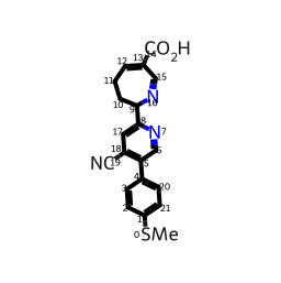 CSc1ccc(-c2cnc(C3CCC=C(C(=O)O)C=N3)cc2C#N)cc1